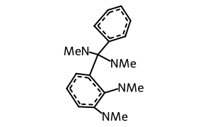 CNc1cccc(C(NC)(NC)c2ccccc2)c1NC